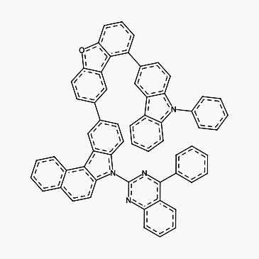 c1ccc(-c2nc(-n3c4ccc(-c5ccc6oc7cccc(-c8ccc9c(c8)c8ccccc8n9-c8ccccc8)c7c6c5)cc4c4c5ccccc5ccc43)nc3ccccc23)cc1